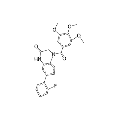 COc1cc(C(=O)N2CC(=O)Nc3cc(-c4ccccc4F)ccc32)cc(OC)c1OC